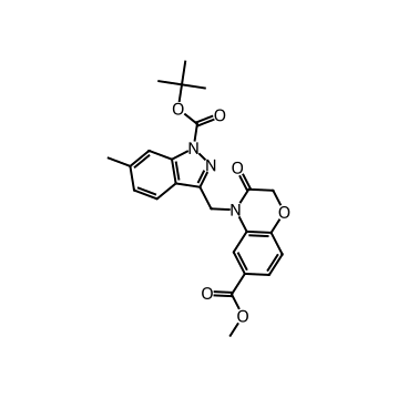 COC(=O)c1ccc2c(c1)N(Cc1nn(C(=O)OC(C)(C)C)c3cc(C)ccc13)C(=O)CO2